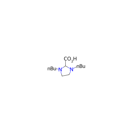 CCCCN1CCN(CCCC)C1C(=O)O